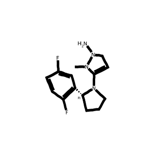 CN1C(N2CCC[C@@H]2c2cc(F)ccc2F)=CCN1N